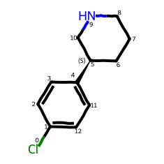 Clc1ccc([C@@H]2CCCNC2)cc1